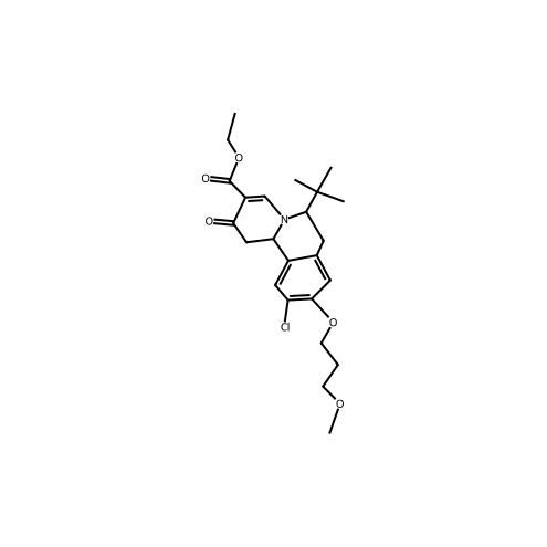 CCOC(=O)C1=CN2C(CC1=O)c1cc(Cl)c(OCCCOC)cc1CC2C(C)(C)C